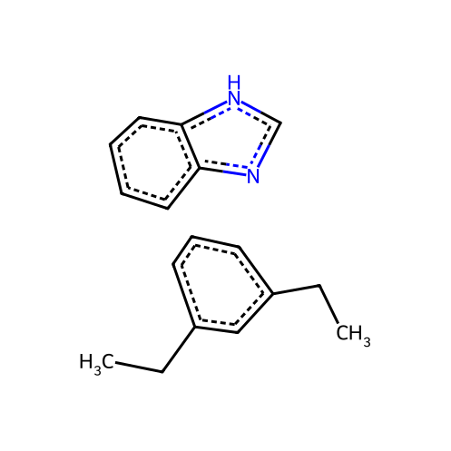 CCc1cccc(CC)c1.c1ccc2[nH]cnc2c1